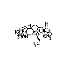 CC=CC1C(C)C(O)(C2=NCCN2)CC2CC[C@@H]3[C@@H](CC[C@]4(C)C([N+]([O-])(O)O)CC[C@@]34O)[C@]21C